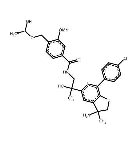 COc1cc(C(=O)NCC(O)(c2cc3c(c(-c4ccc(Cl)cc4)n2)OCC3(C)N)C(F)(F)F)ccc1CO[C@@H](C)O